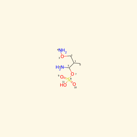 CC(CON)C(N)OS(=O)(=O)O